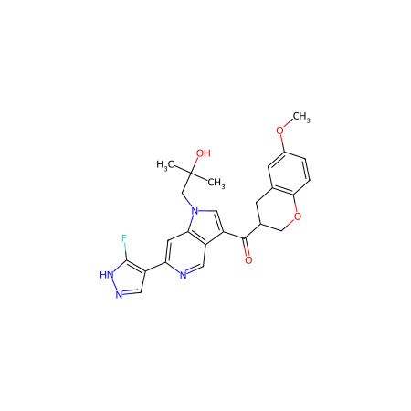 COc1ccc2c(c1)CC(C(=O)c1cn(CC(C)(C)O)c3cc(-c4cn[nH]c4F)ncc13)CO2